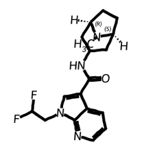 CN1[C@@H]2CC[C@H]1CC(NC(=O)c1cn(CC(F)F)c3ncccc13)C2